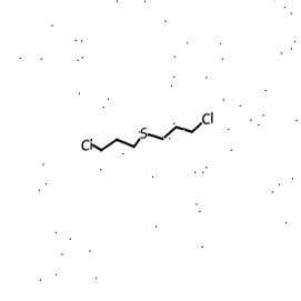 ClCCCSCCCCl